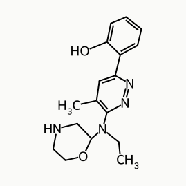 CCN(c1nnc(-c2ccccc2O)cc1C)C1CNCCO1